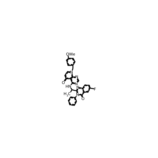 COc1ccc(Cn2ccc(=O)c3c(NC(C)c4nc5ccc(F)cc5c(=O)n4-c4ccccc4)ncnc32)cc1